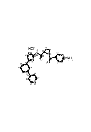 Cl.Nc1ccc(C(=O)N2CCC2C(=O)Nc2nc(-c3cccc(-c4ccncc4)c3)cs2)cn1